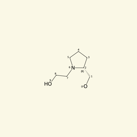 [O]C[C@H]1CCCN1CCO